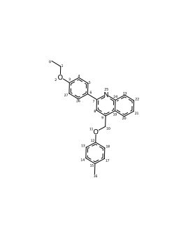 CCOc1ccc(-c2cc(COc3ccc(C)cc3)c3ccccc3n2)cc1